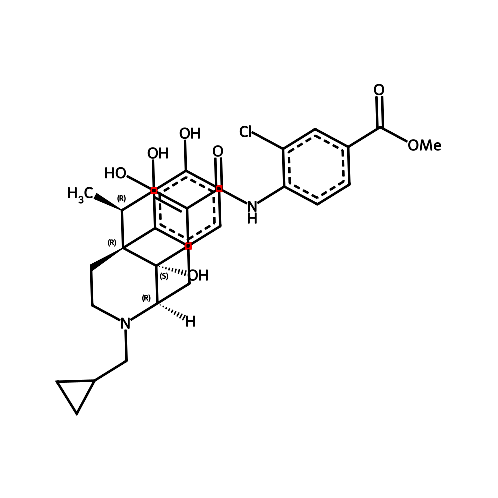 COC(=O)c1ccc(NC(=O)C2=C(O)[C@H](C)[C@]34CCN(CC5CC5)[C@H](Cc5ccc(O)c(O)c53)[C@]4(O)C2)c(Cl)c1